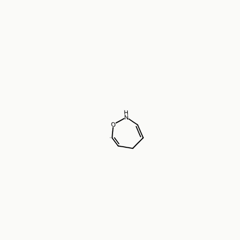 [C]1=CCC=CNO1